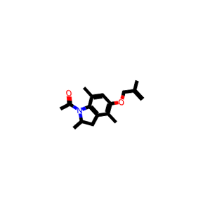 C=C(C)COc1cc(C)c2c(c1C)CC(C)N2C(C)=O